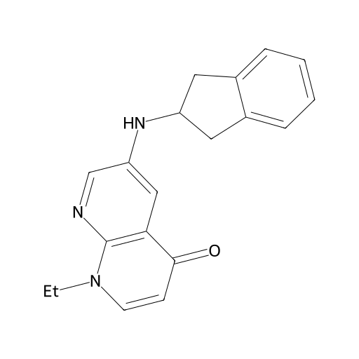 CCn1ccc(=O)c2cc(NC3Cc4ccccc4C3)cnc21